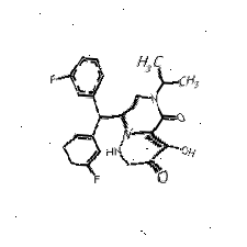 CC(C)N1CC(C(C2=CCCC(F)=C2)c2cccc(F)c2)N2NCC(=O)C(O)=C2C1=O